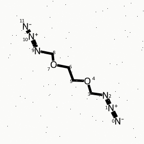 [N-]=[N+]=NCOCCOCN=[N+]=[N-]